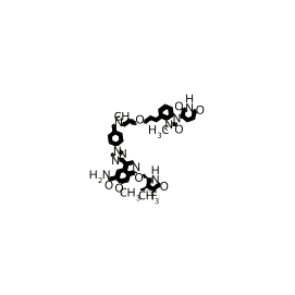 CC[C@@H]1[C@H](F)C(=O)N[C@@H]1COc1ncc(-c2ncn(C3CCC(CN(C)CCCOCCCc4cccc5c4n(C)c(=O)n5C4CCC(=O)NC4=O)CC3)n2)c2cc(C(N)=O)c(OC)cc12